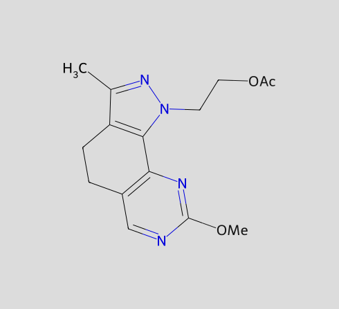 COc1ncc2c(n1)-c1c(c(C)nn1CCOC(C)=O)CC2